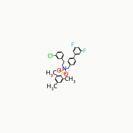 Cc1cc(C)c(S(=O)(=O)N(CCc2cccc(Cl)c2)Cc2ccc(-c3cc(F)cc(F)c3)cc2)c(C)c1